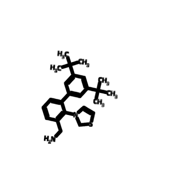 CC(C)(C)c1cc(-c2cccc(CN)c2N2C=CSC2)cc(C(C)(C)C)c1